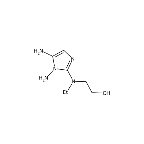 CCN(CCO)c1ncc(N)n1N